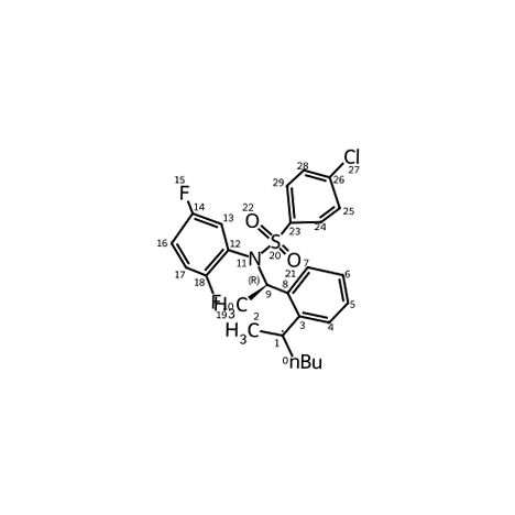 CCCC[C](C)c1ccccc1[C@@H](C)N(c1cc(F)ccc1F)S(=O)(=O)c1ccc(Cl)cc1